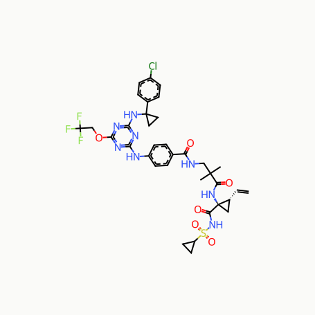 C=C[C@@H]1C[C@]1(NC(=O)C(C)(C)CNC(=O)c1ccc(Nc2nc(NC3(c4ccc(Cl)cc4)CC3)nc(OCC(F)(F)F)n2)cc1)C(=O)NS(=O)(=O)C1CC1